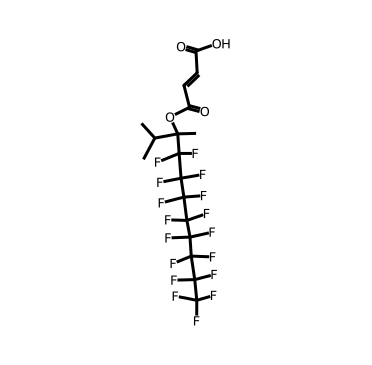 CC(C)C(C)(OC(=O)C=CC(=O)O)C(F)(F)C(F)(F)C(F)(F)C(F)(F)C(F)(F)C(F)(F)C(F)(F)C(F)(F)F